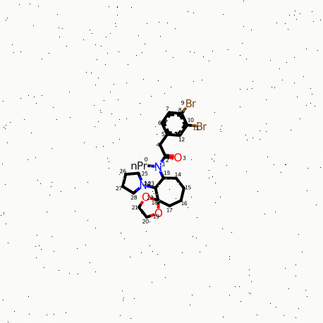 CCCN(C(=O)Cc1ccc(Br)c(Br)c1)C1CCCCC2(OCCO2)C1N1CCCC1